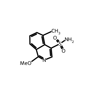 COc1ncc(S(N)(=O)=O)c2c(C)cccc12